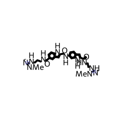 C/N=C(/NC)NCCCNC(=O)c1ccc2[nH]c(C(=O)Nc3ccc4cc(C(=O)NCCN/C(=N\C)NC)[nH]c4c3)cc2c1